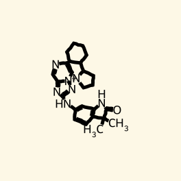 CC1(C)C(=O)Nc2cc(NC3=N[N+]4(N5CCCC5C5CCCCC5)C=CN=CC4=N3)ccc21